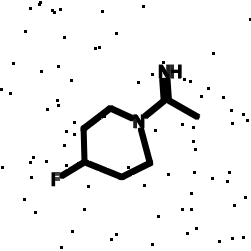 CC(=N)N1CCC(F)CC1